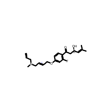 C=CCN(C)C/C=C/COc1ccc(C(=O)C[C@@H](O)C=C(C)C)c(F)c1